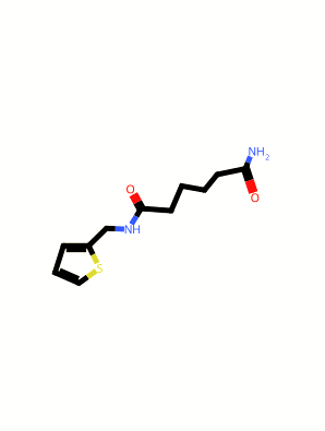 NC(=O)CCCCC(=O)NCc1cccs1